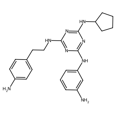 Nc1ccc(CCNc2nc(Nc3cccc(N)c3)nc(NC3CCCC3)n2)cc1